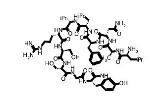 CC(C)C[C@H](NC(=O)[C@H](Cc1ccccc1)NC(=O)[C@H](CC(N)=O)NC(=O)[C@H](C)NC(=O)[C@@H](N)CC(C)C)C(=O)N[C@H](C(=O)N[C@@H](CCCNC(=N)N)C(=O)N[C@@H](CO)C(=O)N[C@@H](CO)C(=O)NCC(=O)N[C@@H](Cc1ccc(O)cc1)C(N)=O)C(C)C